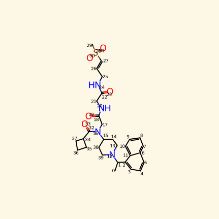 CC(c1cccc2ccccc12)N1CCC(N(CC(=O)NCC(=O)NC/C=C/S(C)(=O)=O)C(=O)C2CCC2)CC1